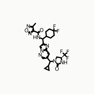 Cc1nonc1C(=O)NC(c1cn2ncc(C(C3CC3)N3C[C@@H](C(F)(F)F)NC3=O)cc2n1)C1CCC(F)(F)CC1